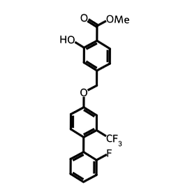 COC(=O)c1ccc(COc2ccc(-c3ccccc3F)c(C(F)(F)F)c2)cc1O